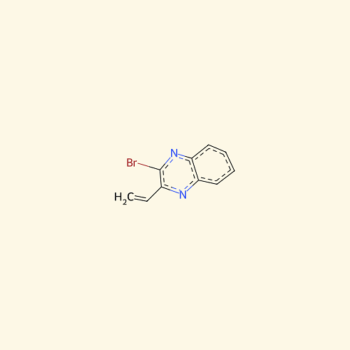 C=Cc1nc2ccccc2nc1Br